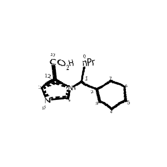 CCCC(C1CCCCC1)n1cncc1C(=O)O